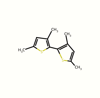 Cc1cc(C)c(-c2sc(C)cc2C)s1